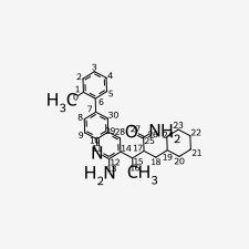 Cc1ccccc1-c1ccc2nc(N)c(C(C)C(CC3CCCCC3)C(N)=O)cc2c1